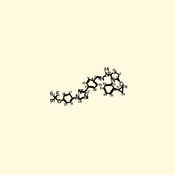 O=C1CSC(N/N=C/c2ccc(-c3ncn(-c4ccc(OC(F)(F)F)cc4)n3)cc2)N1c1ccccc1C1CC1